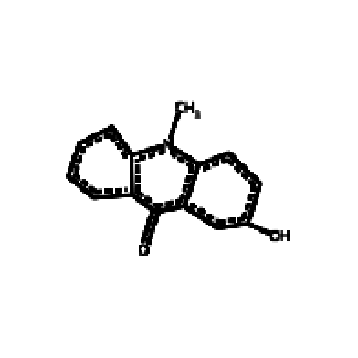 Cn1c2ccccc2c(=O)c2cc(O)ccc21